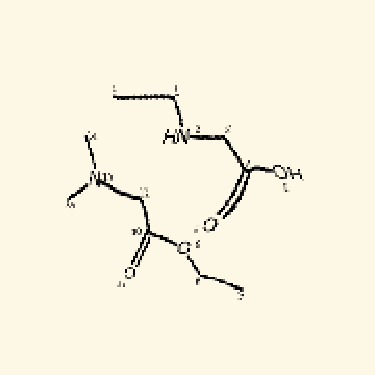 CCNCC(=O)O.CCOC(=O)CN(C)C